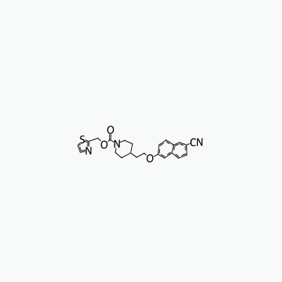 N#Cc1ccc2cc(OCCC3CCN(C(=O)OCc4nccs4)CC3)ccc2c1